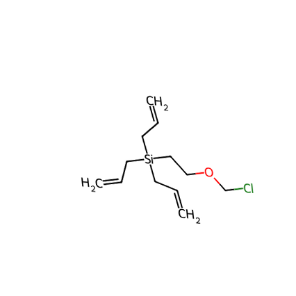 C=CC[Si](CC=C)(CC=C)CCOCCl